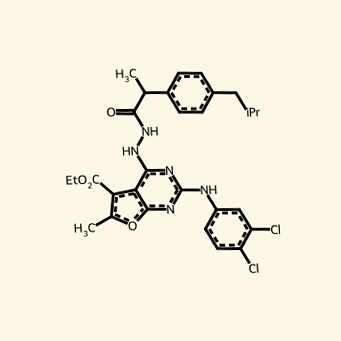 CCOC(=O)c1c(C)oc2nc(Nc3ccc(Cl)c(Cl)c3)nc(NNC(=O)C(C)c3ccc(CC(C)C)cc3)c12